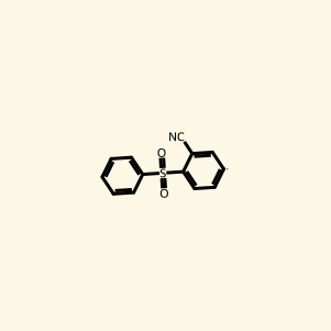 N#Cc1c[c]ccc1S(=O)(=O)c1ccccc1